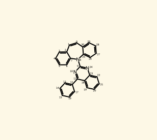 C1=Cc2ccccc2N(c2nc(-c3ccccc3)c3ccccc3n2)c2ccccc21